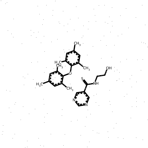 Cc1cc(C)c(Oc2c(C)cc(C)cc2C)c(C)c1.OCCNC(=S)c1cncnc1